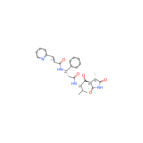 CC(C)[C@H](NC(=O)C[C@H](NC(=O)/C=C/c1ccccn1)c1ccccc1)C(=O)[C@@H]1C(=O)NC(=O)[C@H]1C